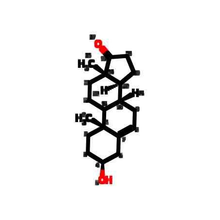 C[C@]12CC[C@H](O)CC1=CC[C@@H]1C2CC[C@]2(C)C(=O)CC[C@@H]12